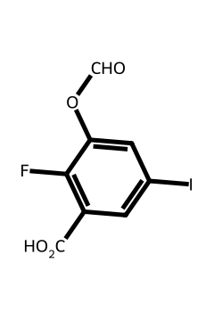 O=COc1cc(I)cc(C(=O)O)c1F